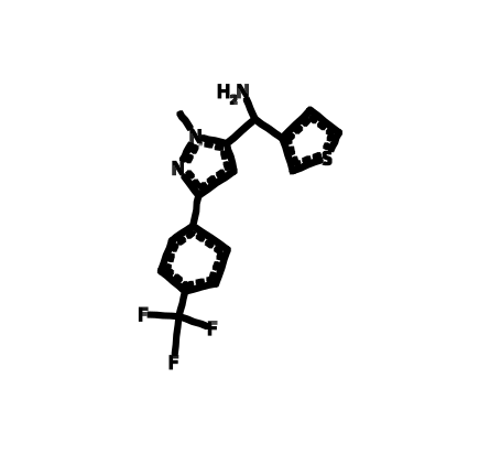 Cn1nc(-c2ccc(C(F)(F)F)cc2)cc1C(N)c1ccsc1